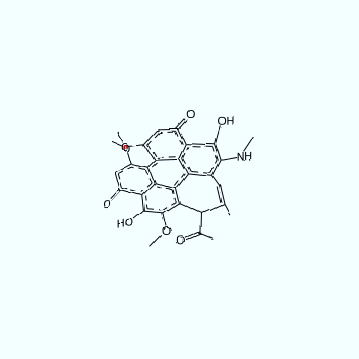 CNc1c(O)c2c(=O)cc(OC)c3c4c(OC)cc(=O)c5c(O)c(OC)c6c(c(c1C=C(C)C6C(C)=O)c23)c54